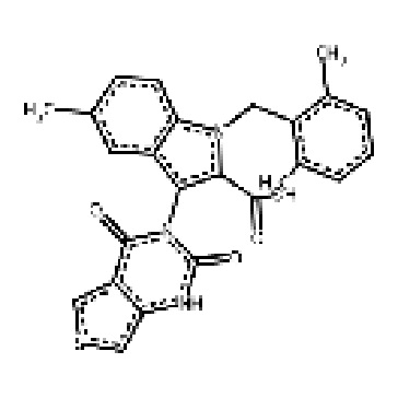 Cc1ccc2c(c1)c(-n1c(=O)[nH]c3cscc3c1=O)c(C(=O)O)n2Cc1c(C)cccc1C